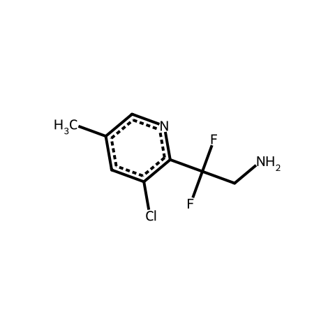 Cc1cnc(C(F)(F)CN)c(Cl)c1